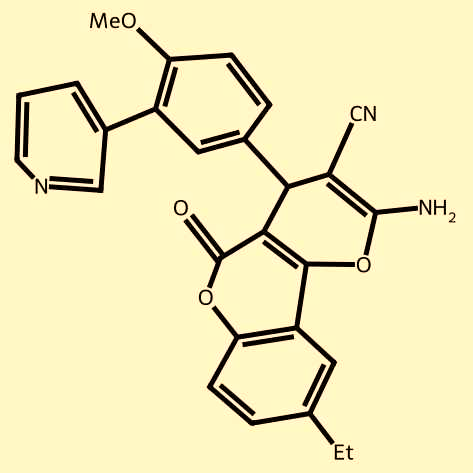 CCc1ccc2oc(=O)c3c(c2c1)OC(N)=C(C#N)C3c1ccc(OC)c(-c2cccnc2)c1